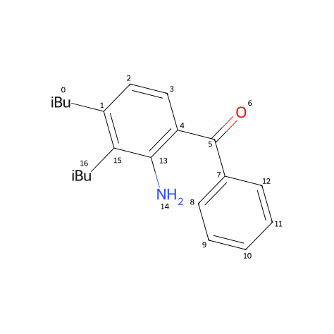 CCC(C)c1ccc(C(=O)c2ccccc2)c(N)c1C(C)CC